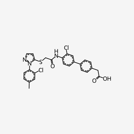 Cc1ccc(-n2nccc2SCC(=O)Nc2ccc(-c3ccc(CC(=O)O)cc3)cc2Cl)c(Cl)c1